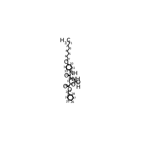 CCCCCCCCOc1ccc(NC(=O)[C@H](CCC(=O)OCc2ccccc2)NC(=O)O)cc1